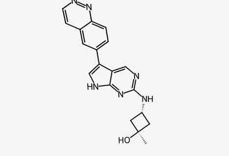 C[C@]1(O)C[C@H](Nc2ncc3c(-c4ccc5nnccc5c4)c[nH]c3n2)C1